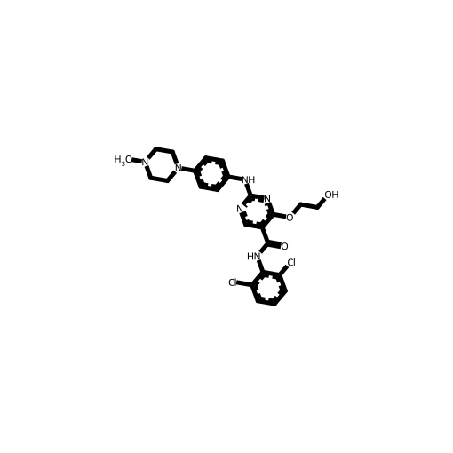 CN1CCN(c2ccc(Nc3ncc(C(=O)Nc4c(Cl)cccc4Cl)c(OCCO)n3)cc2)CC1